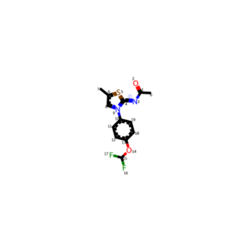 CC(=O)/N=c1\sc(C)cn1-c1ccc(OC(F)F)cc1